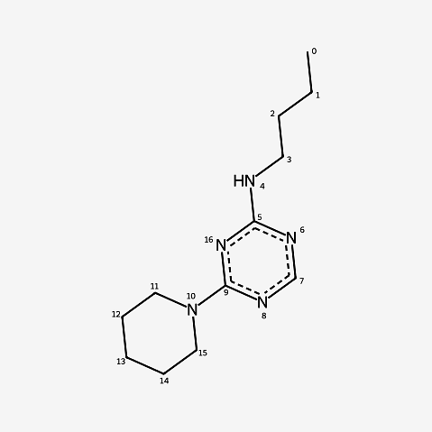 CCCCNc1ncnc(N2CCCCC2)n1